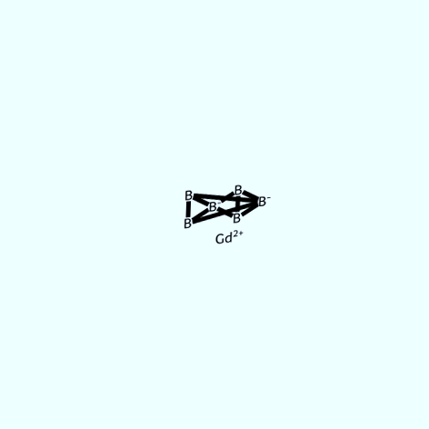 B12B3[B-]14B1B4[B-]231.[Gd+2]